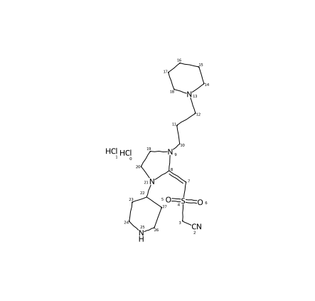 Cl.Cl.N#CCS(=O)(=O)C=C1N(CCCN2CCCCC2)CCN1C1CCNCC1